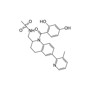 Cc1cccnc1-c1ccc2c(c1)CCC(CNS(C)(=O)=O)N2C(=O)c1ccc(O)cc1O